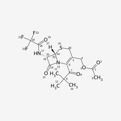 CC(=O)OCC1=C(C(=O)C(C)(C)C)N2C(=O)[C@H](NC(=O)C(F)(F)F)[C@@H]2SC1